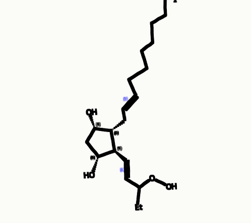 CCC(/C=C/[C@@H]1[C@@H](C/C=C/CCCCCCC(=O)O)[C@@H](O)C[C@H]1O)OO